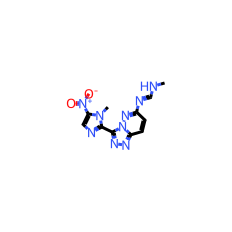 CNC=Nc1ccc2nnc(-c3ncc([N+](=O)[O-])n3C)n2n1